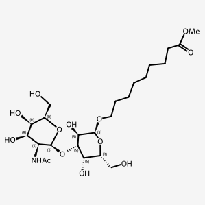 COC(=O)CCCCCCCCO[C@H]1O[C@H](CO)[C@H](O)[C@H](O[C@@H]2O[C@H](CO)[C@H](O)[C@H](O)[C@@H]2NC(C)=O)[C@H]1O